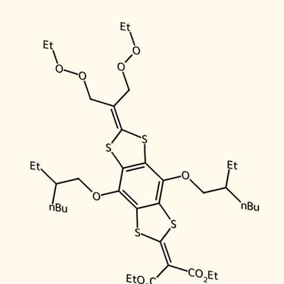 CCCCC(CC)COc1c2c(c(OCC(CC)CCCC)c3c1SC(=C(C(=O)OCC)C(=O)OCC)S3)SC(=C(COOCC)COOCC)S2